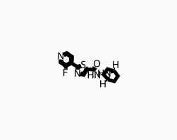 O=C(N[C@@H]1C[C@H]2CC[C@@H]1N2)c1cnc(-c2ccncc2F)s1